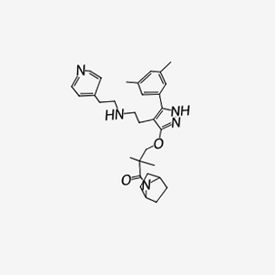 Cc1cc(C)cc(-c2[nH]nc(OCC(C)(C)C(=O)N3C4CCC3CC4)c2CCNCCc2ccncc2)c1